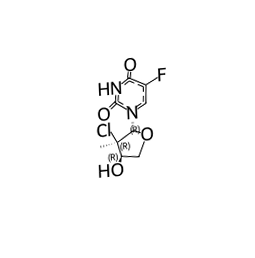 C[C@@]1(Cl)[C@H](O)CO[C@H]1n1cc(F)c(=O)[nH]c1=O